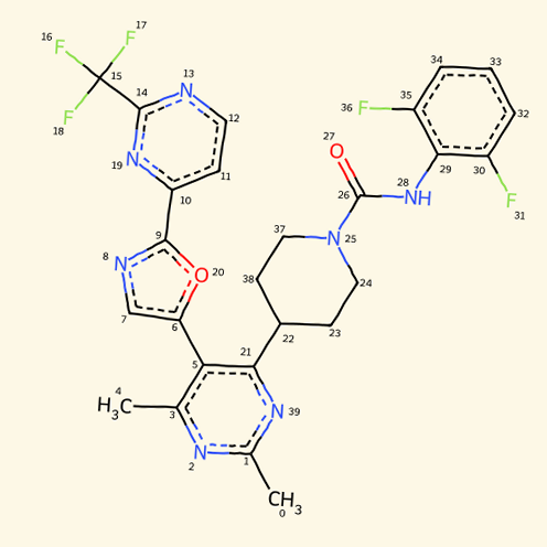 Cc1nc(C)c(-c2cnc(-c3ccnc(C(F)(F)F)n3)o2)c(C2CCN(C(=O)Nc3c(F)cccc3F)CC2)n1